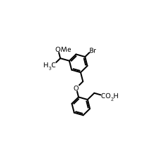 COC(C)c1cc(Br)cc(COc2ccccc2CC(=O)O)c1